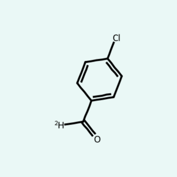 [2H]C(=O)c1ccc(Cl)cc1